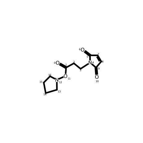 O=C(CCN1C(=O)C=CC1=O)ON1CCCC1